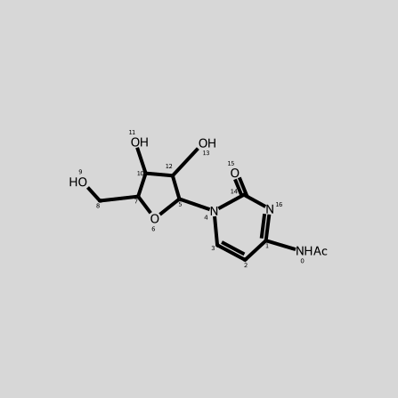 CC(=O)Nc1ccn(C2OC(CO)C(O)C2O)c(=O)n1